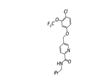 CC(C)CNC(=O)c1ccc(COc2ccc(Cl)c(OC(F)(F)F)c2)cn1